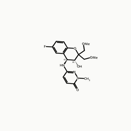 COCC1(COC)Oc2ccc(F)cc2[C@H](Nc2ccc(=O)n(C)n2)[C@H]1O